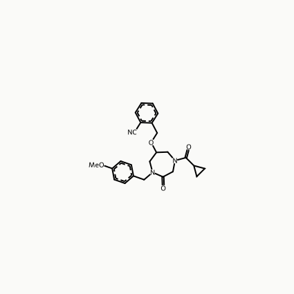 COc1ccc(CN2CC(OCc3ccccc3C#N)CN(C(=O)C3CC3)CC2=O)cc1